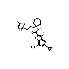 Cc1nnc(CCCC2(NC(=O)c3oc4c(C(F)(F)F)cc(C5CC5)cc4c3Cl)CCCCC2)o1